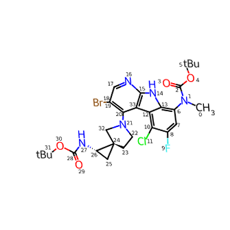 CN(C(=O)OC(C)(C)C)c1cc(F)c(Cl)c2c1[nH]c1ncc(Br)c(N3CC[C@]4(C[C@@H]4NC(=O)OC(C)(C)C)C3)c12